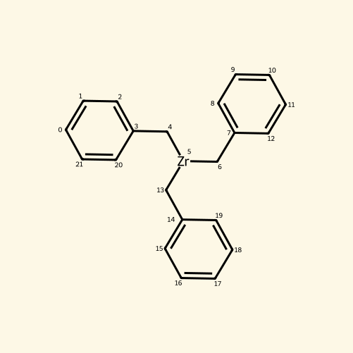 c1ccc([CH2][Zr]([CH2]c2ccccc2)[CH2]c2ccccc2)cc1